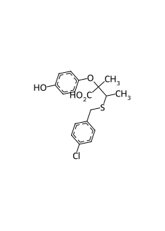 CC(SCc1ccc(Cl)cc1)C(C)(Oc1ccc(O)cc1)C(=O)O